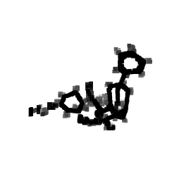 COC(=O)C12CC3CC(c4ccccc4)(CC1(C(=O)N[C@H]1CC[C@@H](N)CC1)C3)C2